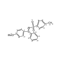 COc1ccc(S(=NS(=O)(=O)c2ccc(C)cc2)c2ccccc2)cc1